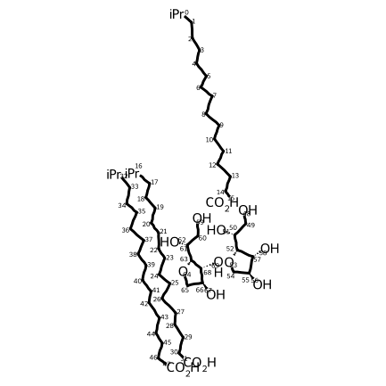 CC(C)CCCCCCCCCCCCCCC(=O)O.CC(C)CCCCCCCCCCCCCCC(=O)O.CC(C)CCCCCCCCCCCCCCC(=O)O.OC[C@@H](O)[C@H]1OC[C@H](O)[C@H]1O.OC[C@@H](O)[C@H]1OC[C@H](O)[C@H]1O